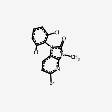 Cn1c(=O)n(-c2c(Cl)cccc2Cl)c2ccc(Br)nc21